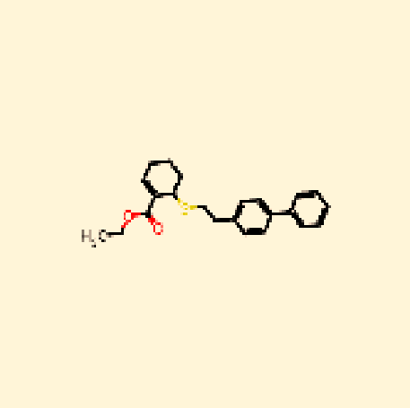 CCOC(=O)C1=CCCCC1SCCc1ccc(-c2ccccc2)cc1